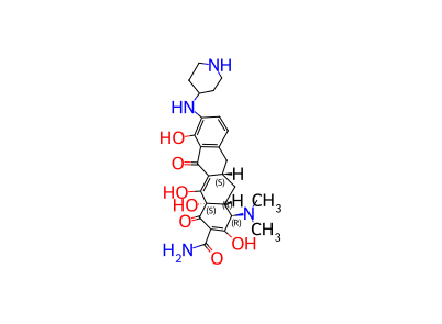 CN(C)[C@H]1C(O)=C(C(N)=O)C(=O)[C@@]2(O)C(O)=C3C(=O)c4c(ccc(NC5CCNCC5)c4O)C[C@@H]3C[C@H]12